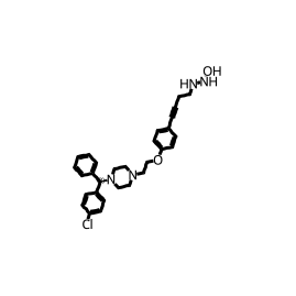 ONNCCC#Cc1ccc(OCCN2CCN([C@H](c3ccccc3)c3ccc(Cl)cc3)CC2)cc1